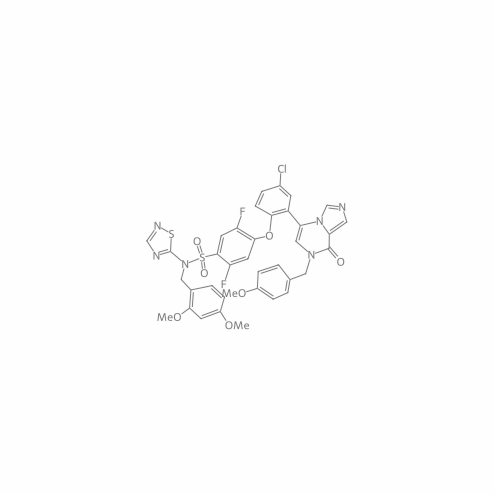 COc1ccc(Cn2cc(-c3cc(Cl)ccc3Oc3cc(F)c(S(=O)(=O)N(Cc4ccc(OC)cc4OC)c4ncns4)cc3F)n3cncc3c2=O)cc1